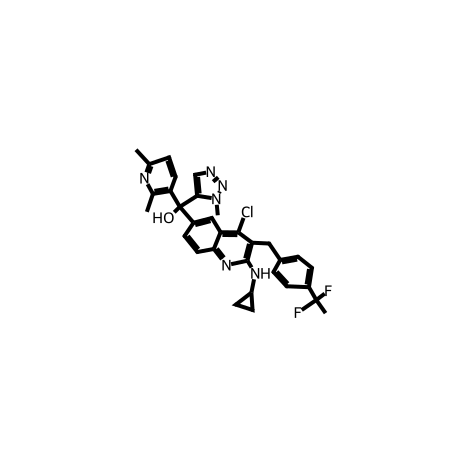 Cc1ccc(C(O)(c2ccc3nc(NC4CC4)c(Cc4ccc(C(C)(F)F)cc4)c(Cl)c3c2)c2cnnn2C)c(C)n1